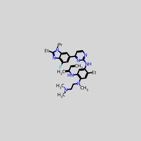 C=CC(=C)Nc1cc(Nc2nccc(-c3cc(F)c4nc(CC)n(C(C)C)c4c3)n2)c(CC)cc1N(C)CCN(C)C